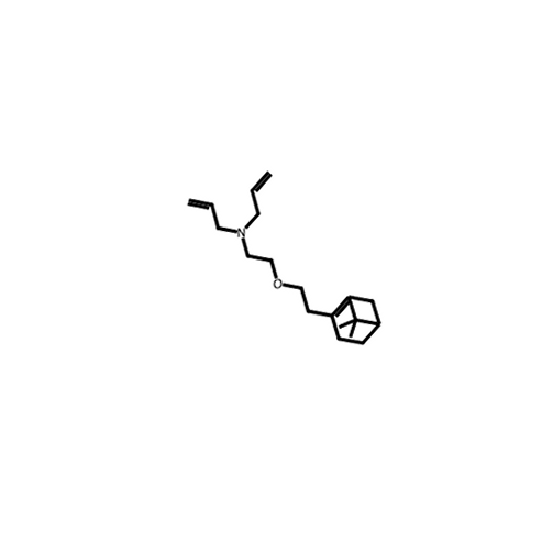 C=CCN(CC=C)CCOCCC1=C2CC(CC1)C2(C)C